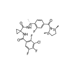 C[C@@H]1CC[C@H](C)N1C(=O)c1ccc([C@@H](C)NC(=O)C2(NC(=O)c3cc(F)c(F)c(Cl)c3F)CC2)c(F)c1